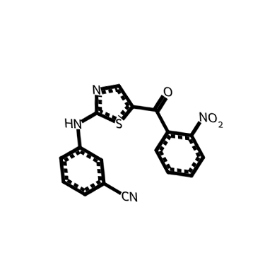 N#Cc1cccc(Nc2ncc(C(=O)c3ccccc3[N+](=O)[O-])s2)c1